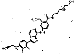 C#CCOc1ccc(-c2cnc3c(Nc4ccc(C(=O)NCCCNCCO)c(CC)c4)nccn23)c(F)c1F